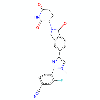 Cn1cc(-c2ccc3c(c2)CN(C2CCC(=O)NC2=O)C3=O)nc1-c1ccc(C#N)cc1F